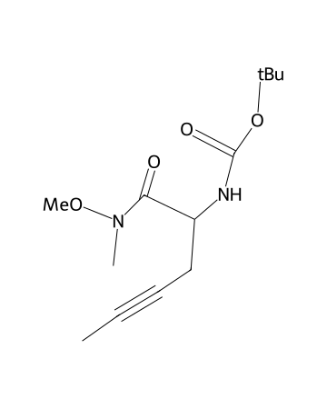 CC#CCC(NC(=O)OC(C)(C)C)C(=O)N(C)OC